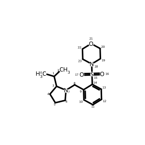 CC(C)C1CCCN1Cc1ccccc1S(=O)(=O)N1CCOCC1